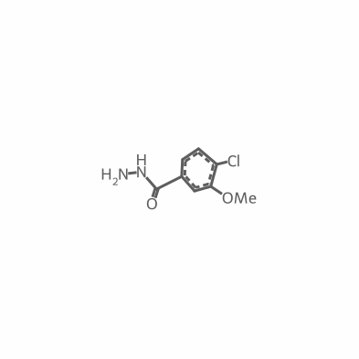 COc1cc(C(=O)NN)ccc1Cl